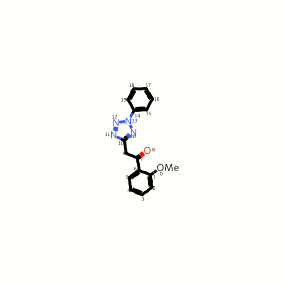 COc1ccccc1C(=O)Cc1nnn(-c2ccccc2)n1